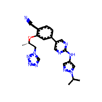 CC(C)n1cc(Nc2ncc(-c3ccc(C#N)c(O[C@@H](C)Cn4cnnn4)c3)cn2)cn1